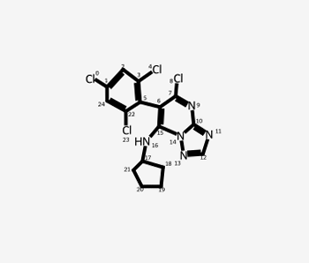 Clc1cc(Cl)c(-c2c(Cl)nc3ncnn3c2NC2CCCC2)c(Cl)c1